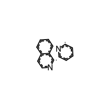 [c]1ccccn1.[c]1nccc2ccccc12